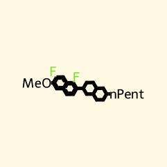 CCCCCC1CCC2CC(c3ccc4cc(OC)c(F)cc4c3F)CCC2C1